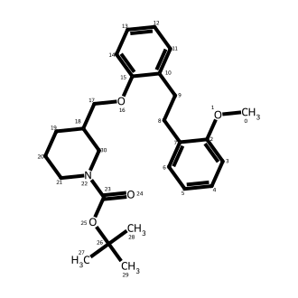 COc1ccccc1CCc1ccccc1OCC1CCCN(C(=O)OC(C)(C)C)C1